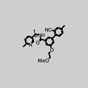 COCCOc1cc(C(=O)N[C@H](C)c2ccc(C)nc2)cc(-c2ccc(C)cc2C#N)c1